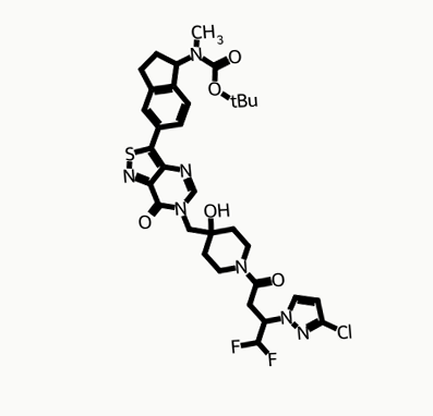 CN(C(=O)OC(C)(C)C)C1CCc2cc(-c3snc4c(=O)n(CC5(O)CCN(C(=O)CC(C(F)F)n6ccc(Cl)n6)CC5)cnc34)ccc21